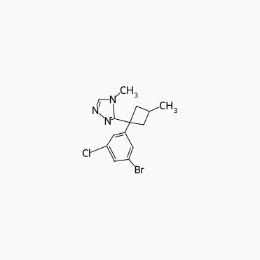 CC1CC(c2cc(Cl)cc(Br)c2)(c2nncn2C)C1